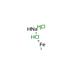 Cl.Cl.[Fe].[NaH]